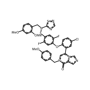 COc1ccc(Cn2cc(-c3cc(Cl)ccc3Oc3cc(F)c(SN(Cc4ccc(OC)cc4OC)c4ncns4)cc3F)n3cncc3c2=O)cc1